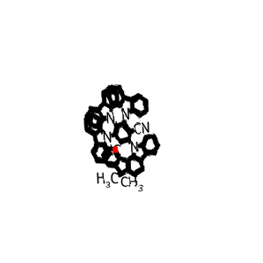 CC1(C)c2ccccc2-c2c1ccc1c3ccccc3n(-c3c(C#N)c(-n4c5ccccc5c5ccccc54)c(-n4c5ccccc5c5ccccc54)c(-n4c5ccccc5c5ccccc54)c3C#N)c21